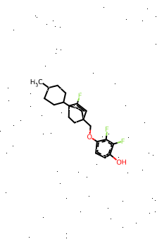 CC1CCC(C23CCC(COc4ccc(O)c(F)c4F)(C=C2F)CC3)CC1